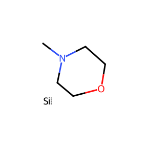 CN1CCOCC1.[Si]